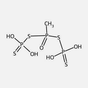 CP(=O)(SP(O)(O)=S)SP(O)(O)=S